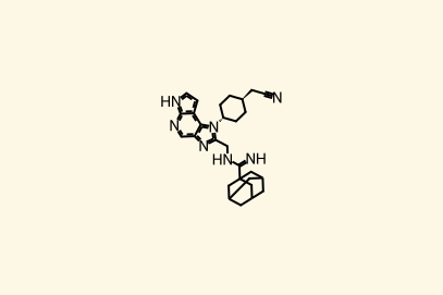 N#CC[C@H]1CC[C@H](n2c(CNC(=N)C34CC5CC(CC(C5)C3)C4)nc3cnc4[nH]ccc4c32)CC1